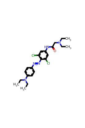 CCN(CC)CC(=O)Nc1cc(Cl)c(/N=N/c2ccc(N(CC)CC)cc2)c(Cl)c1